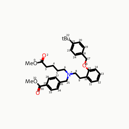 COC(=O)CCCCN(CCc1ccccc1OCc1ccc(C(C)(C)C)cc1)Cc1ccc(C(=O)OC)cc1